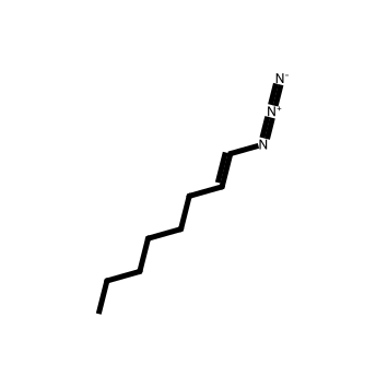 CCCCCCC=CN=[N+]=[N-]